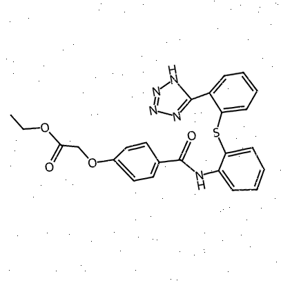 CCOC(=O)COc1ccc(C(=O)Nc2ccccc2Sc2ccccc2-c2nnn[nH]2)cc1